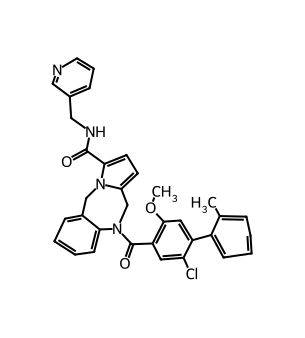 COc1cc(-c2ccccc2C)c(Cl)cc1C(=O)N1Cc2ccc(C(=O)NCc3cccnc3)n2Cc2ccccc21